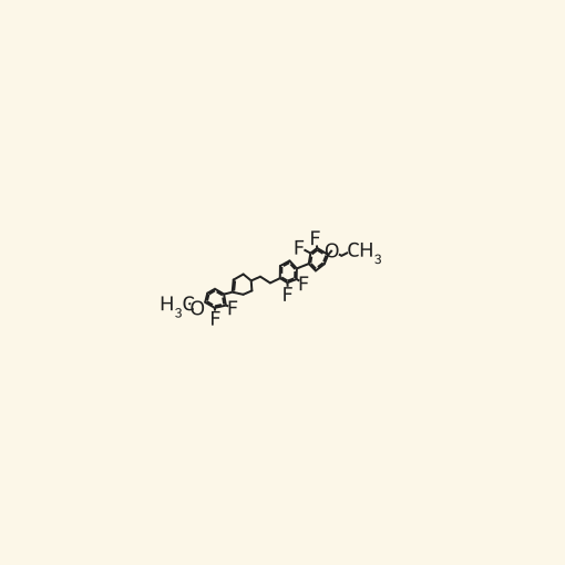 CCOc1ccc(-c2ccc(CCC3CC=C(c4ccc(OC)c(F)c4F)CC3)c(F)c2F)c(F)c1F